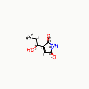 CC(C)CC(O)C1=CC(=O)NC1=O